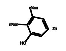 CCCCCCCCCc1cccc(O)c1CCCCCCCCC.[Zn]